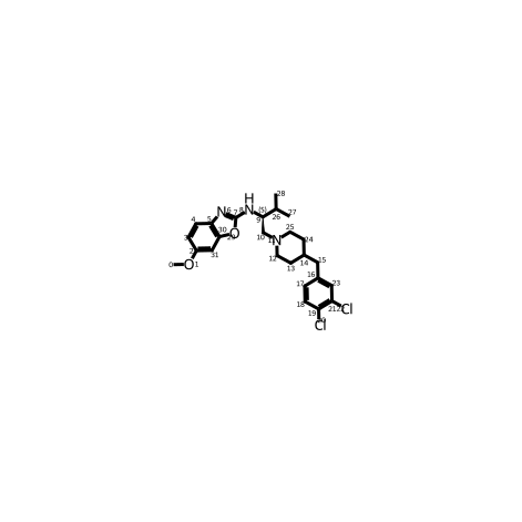 COc1ccc2nc(N[C@H](CN3CCC(Cc4ccc(Cl)c(Cl)c4)CC3)C(C)C)oc2c1